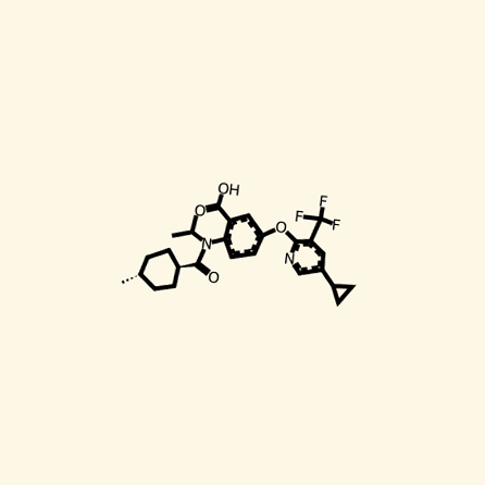 CC(C)N(c1ccc(Oc2ncc(C3CC3)cc2C(F)(F)F)cc1C(=O)O)C(=O)[C@H]1CC[C@H](C)CC1